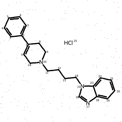 C1=C(c2ccccc2)CCN(CCCCn2cnc3ccccc32)C1.Cl